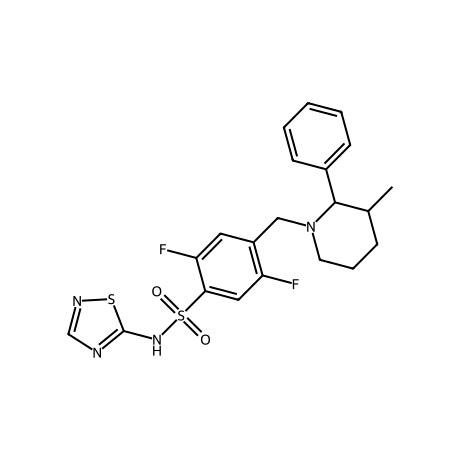 CC1CCCN(Cc2cc(F)c(S(=O)(=O)Nc3ncns3)cc2F)C1c1ccccc1